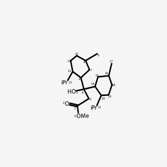 COC(=O)CC(O)(C1CC(C)CCC1C(C)C)C1CC(C)CCC1C(C)C